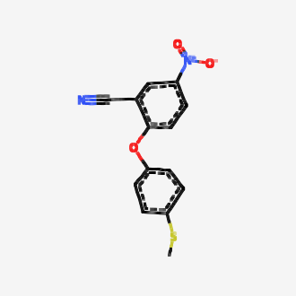 CSc1ccc(Oc2ccc([N+](=O)[O-])cc2C#N)cc1